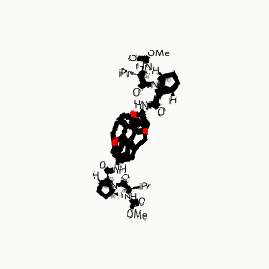 COC(=O)N[C@H](C(=O)N1C(C(=O)Nc2ccc(-c3cc4ccc3CCc3ccc(c(-c5ccc(NC(=O)[C@@H]6[C@H]7CC[C@H](C7)N6C(=O)[C@H](NC(=O)OC)C(C)C)cc5)c3)CC4)cc2)[C@H]2CC[C@@H]1C2)C(C)C